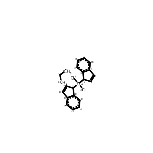 CCC.[Cl][Zr]([Cl])([CH]1C=Cc2ccccc21)[CH]1C=Cc2ccccc21